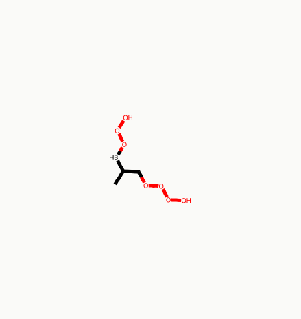 CC(BOOO)COOOO